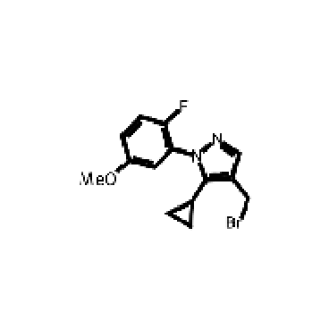 COc1ccc(F)c(-n2ncc(CBr)c2C2CC2)c1